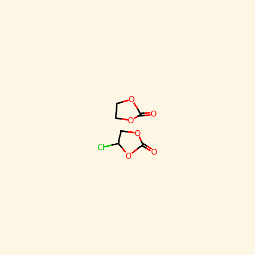 O=C1OCC(Cl)O1.O=C1OCCO1